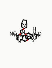 COc1ccc2ncc(C#N)c(CCN3C4CCC3CC(N(C)c3ccc5c(c3)NC(=O)CS5)C4)c2c1